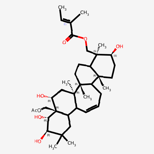 C/C=C(\C)C(=O)OC[C@]1(C)C2CC[C@]3(C)C(CC=CC4C5CC(C)(C)[C@@H](O)[C@H](O)[C@]5(COC(C)=O)[C@H](O)C[C@]43C)[C@@]2(C)CC[C@@H]1O